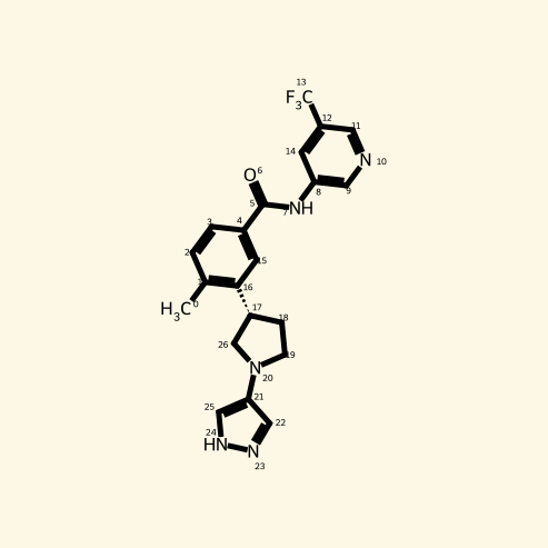 Cc1ccc(C(=O)Nc2cncc(C(F)(F)F)c2)cc1[C@@H]1CCN(c2cn[nH]c2)C1